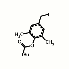 Cc1cc(CI)cc(C)c1OC(=O)C(C)(C)C